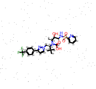 C[C@@H]([C@@H](O)CNS(=O)(=O)c1ccccn1)N(C(=O)O)[C@H](Cn1ccc(-c2ccc(C(F)(F)F)cc2)n1)C(C)(C)C